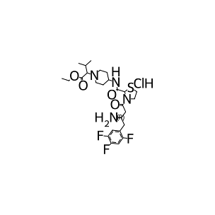 CCOC(=O)C(C(C)C)N1CCC(NC(=O)C2SCCN2C(=O)C[C@H](N)Cc2cc(F)c(F)cc2F)CC1.Cl